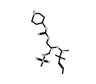 CC=CC(C)(C)[C@H](C)O[C@@H](CNS(C)(=O)=O)COC(=O)OC1CCNCC1